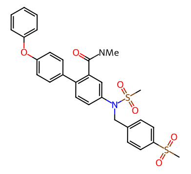 CNC(=O)c1cc(N(Cc2ccc(S(C)(=O)=O)cc2)S(C)(=O)=O)ccc1-c1ccc(Oc2ccccc2)cc1